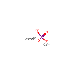 O=P([O-])([O-])[O-].[Al+3].[As-3].[Ga+3]